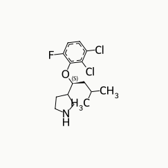 CC(C)C[C@H](Oc1c(F)ccc(Cl)c1Cl)C1CCNC1